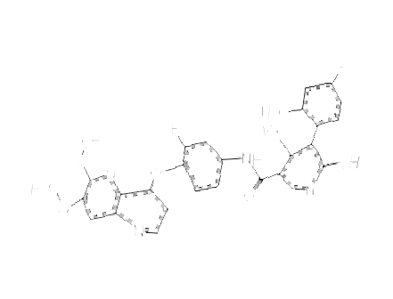 COc1cc2nccc(Oc3ccc(NC(=O)c4cnc(C)c(-c5ccc(F)cc5C)c4O)cc3F)c2nc1OC